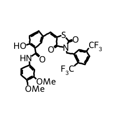 COc1ccc(NC(=O)c2cc(C=C3SC(=O)N(Cc4cc(C(F)(F)F)ccc4C(F)(F)F)C3=O)ccc2O)cc1OC